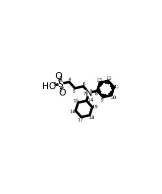 O=S(=O)(O)CCCN(c1ccccc1)C1CCCCC1